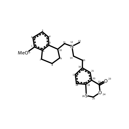 COc1cccc2c1CCCC2CN(C)CCc1ccc2c(c1)C(=O)OCS2